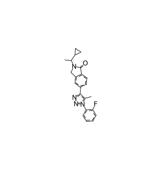 Cc1c(-c2ccc3c(c2)CN(C(C)C2CC2)C3=O)nnn1-c1ccccc1F